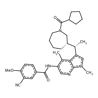 COc1ccc(C(=O)Nc2cnc3c(c([C@@H](C)[C@@H]4CCCCN(C(=O)C5CCCC5)C4)cn3C)c2C)cc1C#N